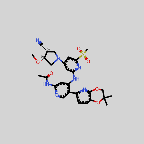 CO[C@H]1CN(c2cc(Nc3cc(NC(C)=O)ncc3-c3ccc4c(n3)OCC(C)(C)O4)nc(S(C)(=O)=O)c2)C[C@H]1C#N